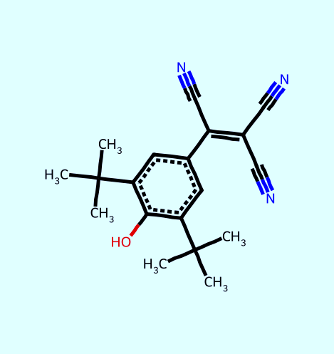 CC(C)(C)c1cc(C(C#N)=C(C#N)C#N)cc(C(C)(C)C)c1O